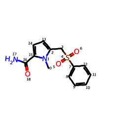 Cn1c(CS(=O)(=O)c2ccccc2)ccc1C(N)=O